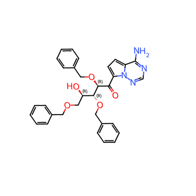 Nc1ncnn2c(C(=O)[C@H](OCc3ccccc3)[C@H](OCc3ccccc3)[C@H](O)COCc3ccccc3)ccc12